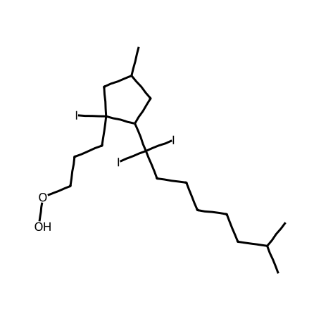 CC(C)CCCCCC(I)(I)C1CC(C)CC1(I)CCCOO